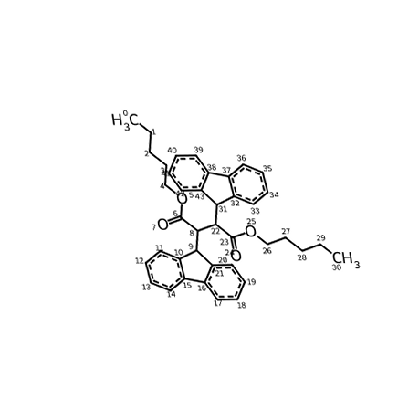 CCCCCOC(=O)C(C1c2ccccc2-c2ccccc21)C(C(=O)OCCCCC)C1c2ccccc2-c2ccccc21